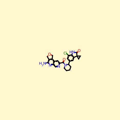 Nc1nc2cnc(C(=O)N3CCCCC3c3cc(Cl)c4c(c3)C3(CC3)C(=O)N4)cc2c2c1COC2